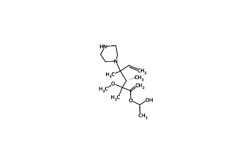 C=CC(C)([C@H](C)C(C)(OC)C(=C)OC(C)O)N1CCNCC1